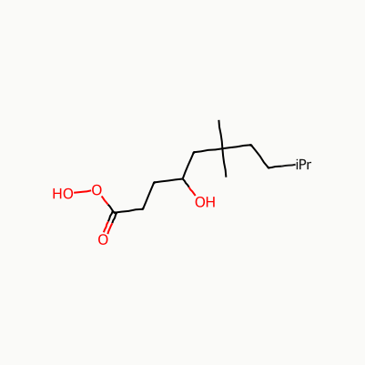 CC(C)CCC(C)(C)CC(O)CCC(=O)OO